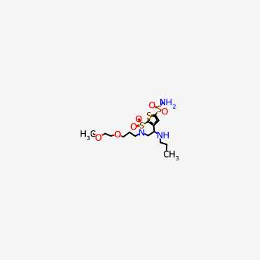 CCCNC1CN(CCCOCCOC)S(=O)(=O)c2sc(S(N)(=O)=O)cc21